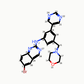 Brc1ccc2nc(Nc3cc(CN4CCOCC4)cc(-c4cncnc4)c3)ncc2c1